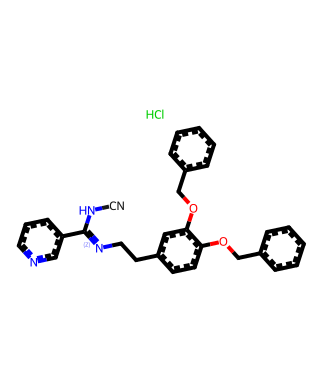 Cl.N#CN/C(=N\CCc1ccc(OCc2ccccc2)c(OCc2ccccc2)c1)c1cccnc1